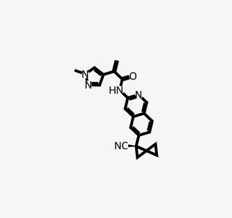 C=C(C(=O)Nc1cc2cc([C@@]3(C#N)CC34CC4)ccc2cn1)c1cnn(C)c1